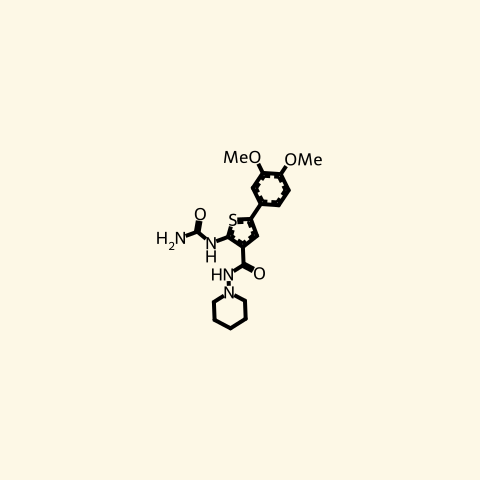 COc1ccc(-c2cc(C(=O)NN3CCCCC3)c(NC(N)=O)s2)cc1OC